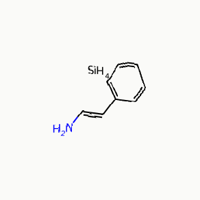 NC=Cc1ccccc1.[SiH4]